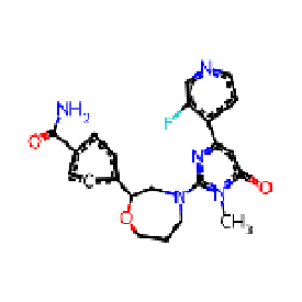 Cn1c(N2CCCOC(c3ccc(C(N)=O)cc3)C2)nc(-c2ccncc2F)cc1=O